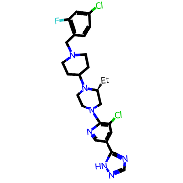 CC[C@H]1CN(c2ncc(-c3ncn[nH]3)cc2Cl)CCN1C1CCN(Cc2ccc(Cl)cc2F)CC1